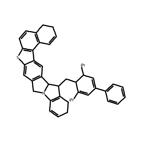 CC(C)C1=CC(c2ccccc2)=CC(C(C)C)C1CC1C2=C(C=CCC2)N2Cc3cc4sc5ccc6c(c5c4cc3C12)C=CCC6